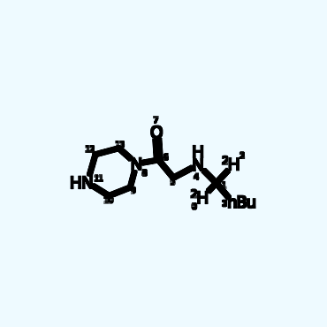 [2H]C([2H])(CCCC)NCC(=O)N1CCNCC1